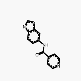 O=C(Nc1ccc2ncsc2c1)c1ccncc1